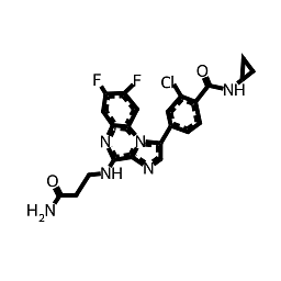 NC(=O)CCNc1nc2cc(F)c(F)cc2n2c(-c3ccc(C(=O)NC4CC4)c(Cl)c3)cnc12